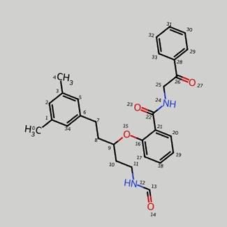 Cc1cc(C)cc(CCC(CCNC=O)Oc2ccccc2C(=O)NCC(=O)c2ccccc2)c1